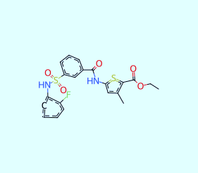 CCOC(=O)c1sc(NC(=O)c2cccc(S(=O)(=O)Nc3ccccc3F)c2)cc1C